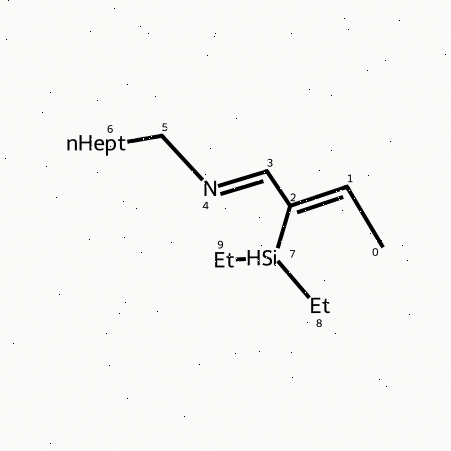 CC=C(C=NCCCCCCCC)[SiH](CC)CC